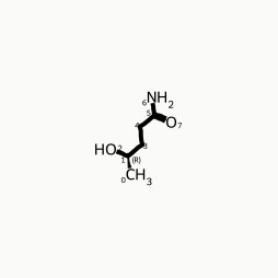 C[C@@H](O)CCC(N)=O